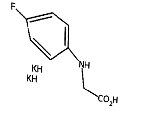 O=C(O)CNc1ccc(F)cc1.[KH].[KH]